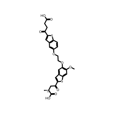 COc1cc2sc(C(=O)C[C@H](C)C(=O)O)cc2cc1OCCOc1ccc2sc(C(=O)CCC(=O)O)cc2c1